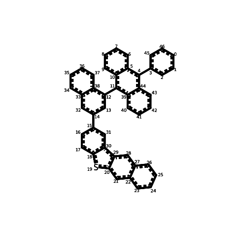 c1ccc(-c2c3ccccc3c(-c3cc(-c4ccc5sc6cc7ccccc7cc6c5c4)cc4ccccc34)c3ccccc23)cc1